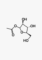 CC(=O)OC1O[C@H](CO)[C@@H](O)[C@@H]1O